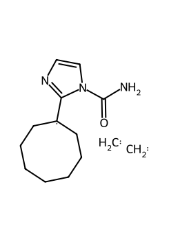 NC(=O)n1ccnc1[C]1CCCCCCC1.[CH2].[CH2]